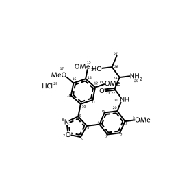 COc1ccc(-c2conc2-c2cc(OC)c(OC)c(OC)c2)cc1NC(=O)C(N)C(C)O.Cl